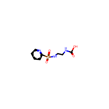 O=C(O)NCCNS(=O)(=O)c1ccccn1